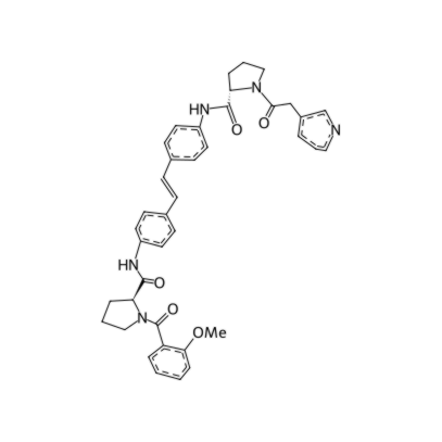 COc1ccccc1C(=O)N1CCC[C@H]1C(=O)Nc1ccc(/C=C/c2ccc(NC(=O)[C@@H]3CCCN3C(=O)Cc3cccnc3)cc2)cc1